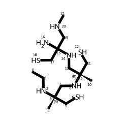 CCN[C@@](C)(CS)CN[C@@](C)(CS)CNC(N)(CS)CNC